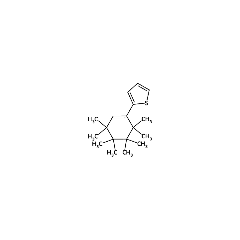 CC1(C)C=C(c2cccs2)C(C)(C)C(C)(C)C1(C)C